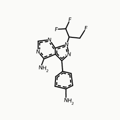 Nc1ccc(-c2nn(C(CF)C(F)F)c3ncnc(N)c23)cc1